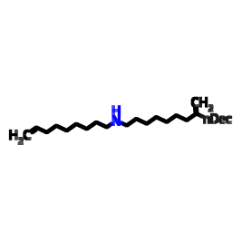 C=CCCCCCCCNCCCCCCCC(=C)CCCCCCCCCC